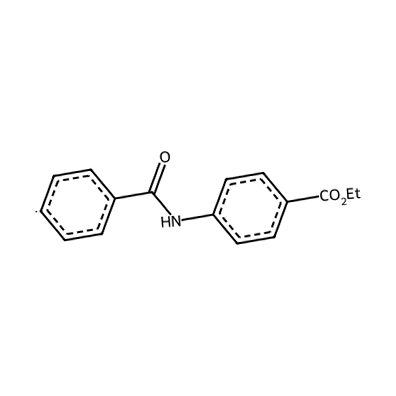 CCOC(=O)c1ccc(NC(=O)c2cc[c]cc2)cc1